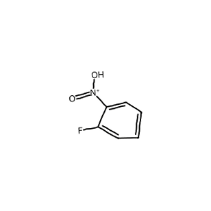 O=[N+](O)c1ccccc1F